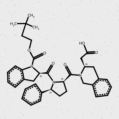 CC(C)(C)CCOC(=O)N1c2ccccc2C[C@@H]1C(=O)N1[C@@H](C(=O)N2Cc3ccccc3C[C@@H]2CC(=O)O)CC[C@H]1c1ccccc1